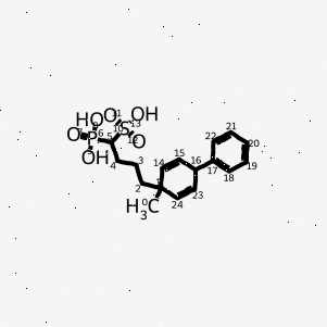 CC1(CCCC(P(=O)(O)O)S(=O)(=O)O)C=CC(c2ccccc2)C=C1